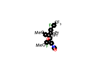 CCCC1(CCC)c2cc(-c3ccc(C(F)(F)F)cc3F)ccc2-c2c1c1c(c3ccc(OC)cc23)OC(c2ccc(N3CCOCC3)cc2)(c2ccc(OC)c(F)c2)C=C1